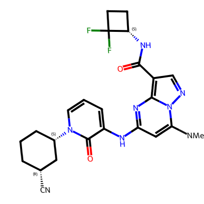 CNc1cc(Nc2cccn([C@H]3CCC[C@@H](C#N)C3)c2=O)nc2c(C(=O)N[C@H]3CCC3(F)F)cnn12